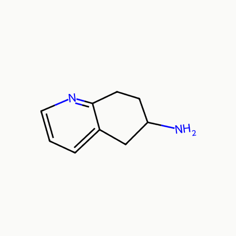 NC1CCc2ncccc2C1